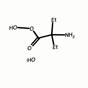 CCC(N)(CC)C(=O)OO.[OH]